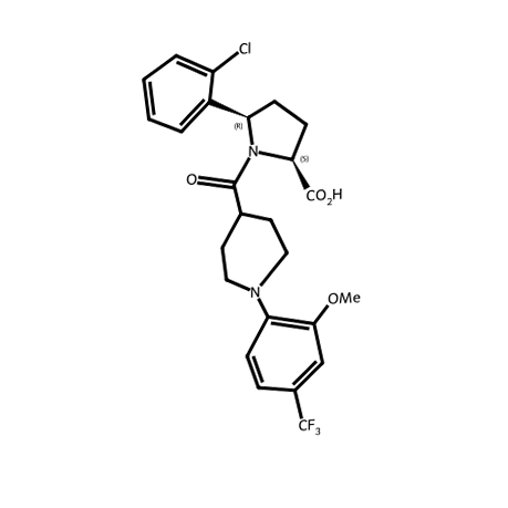 COc1cc(C(F)(F)F)ccc1N1CCC(C(=O)N2[C@@H](c3ccccc3Cl)CC[C@H]2C(=O)O)CC1